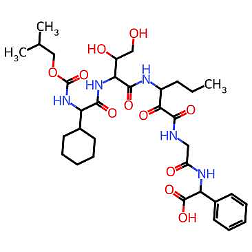 CCCC(NC(=O)C(NC(=O)C(NC(=O)OCC(C)C)C1CCCCC1)C(O)CO)C(=O)C(=O)NCC(=O)NC(C(=O)O)c1ccccc1